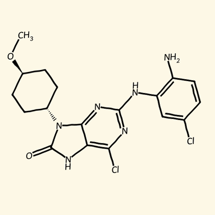 CO[C@H]1CC[C@H](n2c(=O)[nH]c3c(Cl)nc(Nc4cc(Cl)ccc4N)nc32)CC1